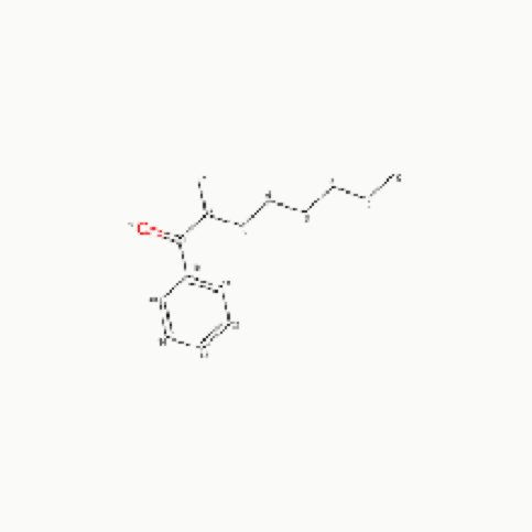 CCCCCCC(C)C(=O)c1ccccc1